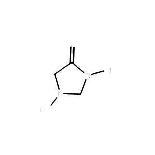 B=C1CN(C)CN1C